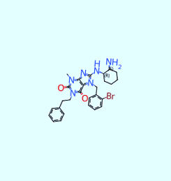 Cn1c(=O)n(CCc2ccccc2)c(=O)c2c1nc(N[C@@H]1CCCC[C@@H]1N)n2Cc1ccccc1Br